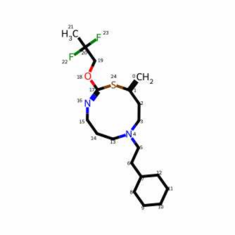 C=C1CCN(CCC2CCCCC2)CCC/N=C(/OCC(C)(F)F)S1